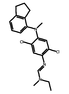 CCN(C)C=Nc1cc(Cl)c(N(C)c2cccc3c2CCC3)cc1Cl